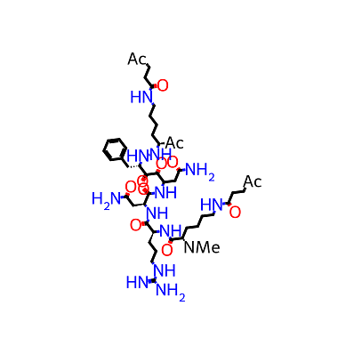 CN[C@@H](CCCCNC(=O)CCC(C)=O)C(=O)N[C@@H](CCCNC(=N)N)C(=O)N[C@@H](CC(N)=O)C(=O)NC(CC(N)=O)C(=O)C(=O)[C@H](Cc1ccccc1)NN[C@@H](CCCCNC(=O)CCC(C)=O)C(C)=O